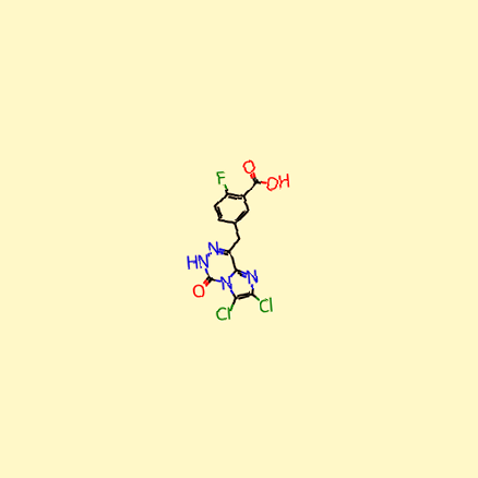 O=C(O)c1cc(Cc2n[nH]c(=O)n3c(Cl)c(Cl)nc23)ccc1F